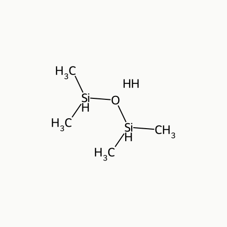 C[SiH](C)O[SiH](C)C.[HH]